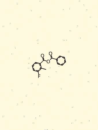 Cc1c(F)cccc1C(=O)OC(=O)c1ccccc1